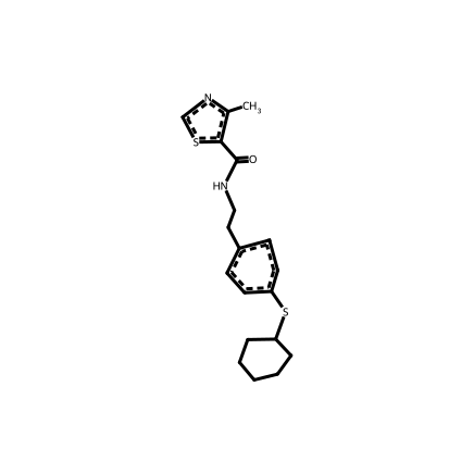 Cc1ncsc1C(=O)NCCc1ccc(SC2CCCCC2)cc1